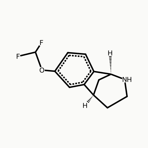 FC(F)Oc1ccc2c(c1)[C@@H]1CCN[C@H]2C1